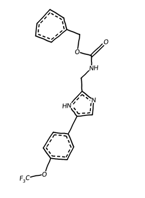 O=C(NCc1ncc(-c2ccc(OC(F)(F)F)cc2)[nH]1)OCc1ccccc1